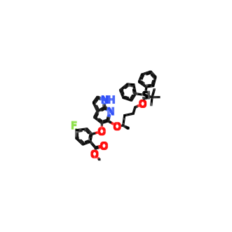 COC(=O)c1ccc(F)cc1Oc1cc2cc[nH]c2nc1O[C@H](C)CCCO[Si](c1ccccc1)(c1ccccc1)C(C)(C)C